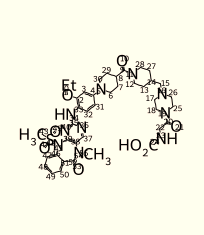 CCOc1cc(N2CCC(C(=O)N3CCC(CN4CCN(C(=O)CNC(=O)O)CC4)CC3)CC2)ccc1Nc1ncc2c(n1)N(S(C)(=O)=O)c1ccccc1C(=O)N2C